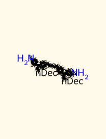 CCCCCCCCCCCCC(c1ccc(N)cc1)c1ccc(CCCCCc2ccc(C(CCCCCCCCCCCC)c3ccc(N)cc3)cc2)cc1